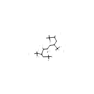 CC(CCC(CC(C)C(F)(F)F)C(C)(C)C)C(CC(F)(F)F)C(C)(C)C